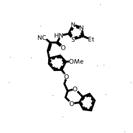 CCc1nnc(NC(=O)/C(C#N)=C\c2ccc(OCC3COc4ccccc4O3)c(OC)c2)s1